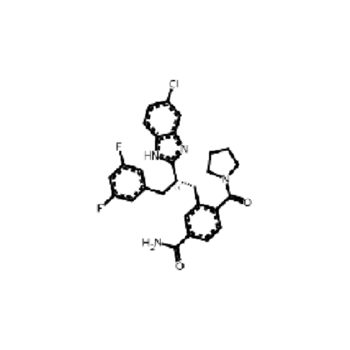 NC(=O)c1ccc(C(=O)N2CCCC2)c(C[C@H](Cc2cc(F)cc(F)c2)c2nc3cc(Cl)ccc3[nH]2)c1